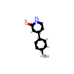 CC(C)(C)c1ccc(-c2cc[nH]c(=O)c2)cc1